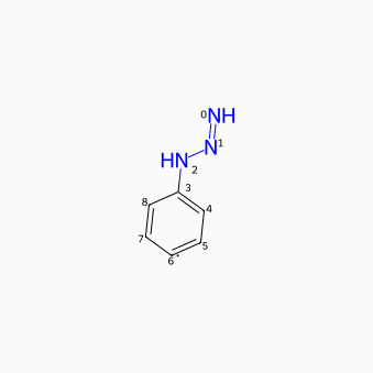 N=NNc1cc[c]cc1